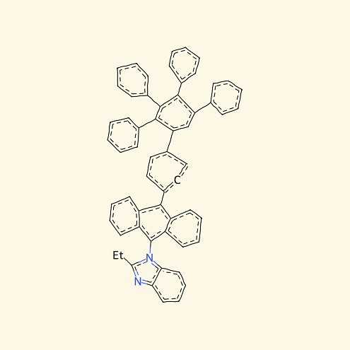 CCc1nc2ccccc2n1-c1c2ccccc2c(-c2ccc(-c3cc(-c4ccccc4)c(-c4ccccc4)c(-c4ccccc4)c3-c3ccccc3)cc2)c2ccccc12